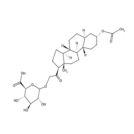 CC(=O)O[C@@H]1CC[C@H]2[C@@H](CC[C@@H]3[C@@H]2CC[C@]2(C)[C@@H](C(=O)COC4O[C@H](C(=O)O)[C@@H](O)[C@H](O)[C@H]4O)CC[C@@H]32)C1